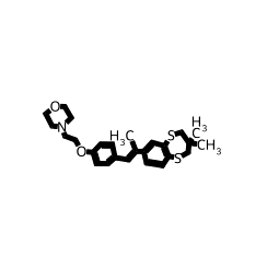 CC(=Cc1ccc(OCCN2CCOCC2)cc1)c1ccc2c(c1)SCC(C)(C)CS2